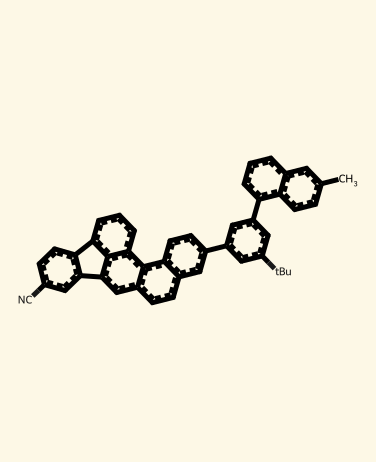 Cc1ccc2c(-c3cc(-c4ccc5c(ccc6cc7c8c(cccc8c65)-c5ccc(C#N)cc5-7)c4)cc(C(C)(C)C)c3)cccc2c1